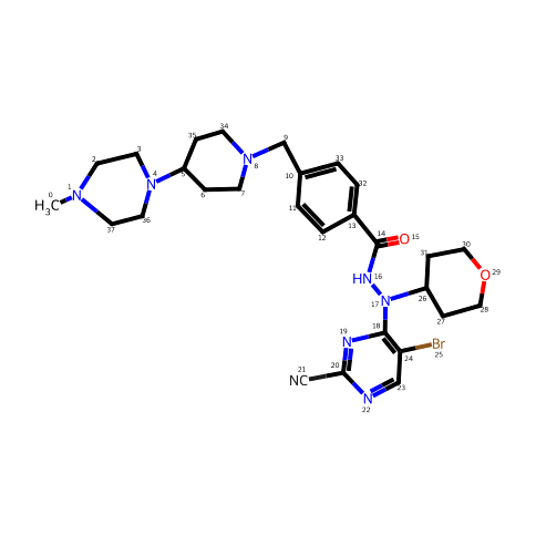 CN1CCN(C2CCN(Cc3ccc(C(=O)NN(c4nc(C#N)ncc4Br)C4CCOCC4)cc3)CC2)CC1